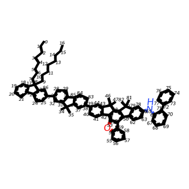 CCCCCCCCC1(CCCCCCCC)c2ccccc2-c2ccc(-c3ccc4c(c3)C(C)(C)c3cc(-c5ccc6c(c5)C(C)(C)c5c7c(c8c(oc9ccccc98)c5-6)-c5ccc(Nc6ccccc6-c6ccccc6)cc5C7(C)C)ccc3-4)cc21